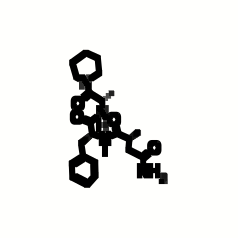 C[C@H](NC(=O)[C@H](Cc1ccccc1)N(C)C(=O)[C@@H](C)CC(N)=O)C(=O)N1CCCCC1